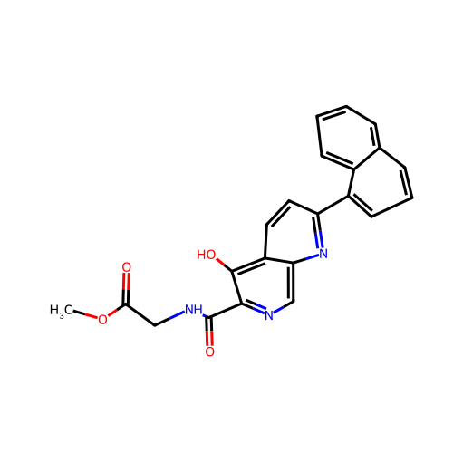 COC(=O)CNC(=O)c1ncc2nc(-c3cccc4ccccc34)ccc2c1O